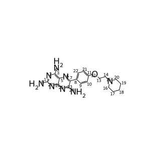 Nc1nc(N)c2nc(-c3ccc(OCCN4CCCCC4)cc3)c(N)nc2n1